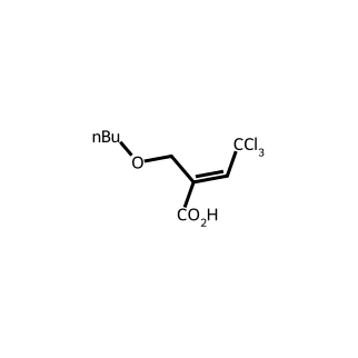 CCCCOC/C(=C\C(Cl)(Cl)Cl)C(=O)O